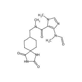 CN(CC1CCC2(CC1)NC(=O)NC2=O)C(=O)c1c(N(C)C=O)ncn1C